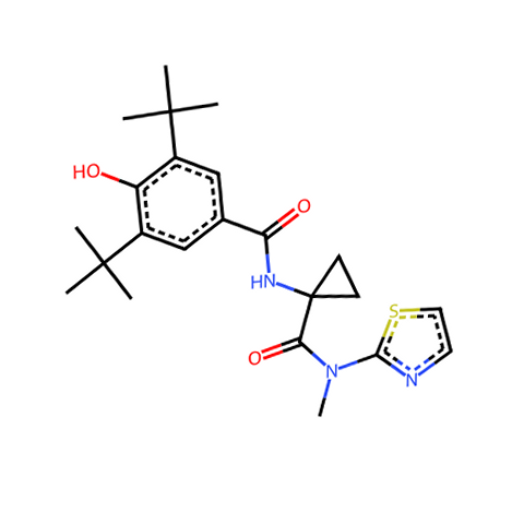 CN(C(=O)C1(NC(=O)c2cc(C(C)(C)C)c(O)c(C(C)(C)C)c2)CC1)c1nccs1